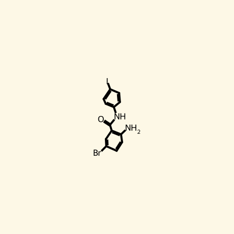 Nc1ccc(Br)cc1C(=O)Nc1ccc(I)cc1